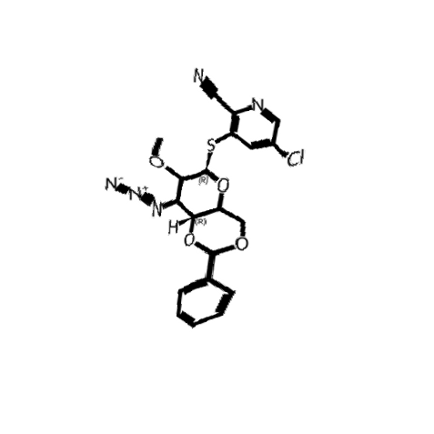 COC1C(N=[N+]=[N-])[C@H]2OC(c3ccccc3)OCC2O[C@@H]1Sc1cc(Cl)cnc1C#N